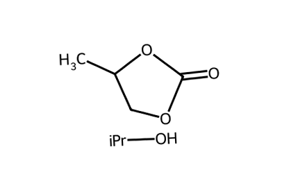 CC(C)O.CC1COC(=O)O1